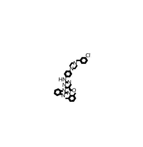 Cc1cccc(C)c1-n1c(=O)c2cnc(Nc3ccc(N4CCN(Cc5cccc(Cl)c5)CC4)cc3)nc2n2c3ccccc3nc12